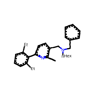 CCCCCCN(Cc1ccccc1)Cc1ccc(-c2c(CC)cccc2CC)nc1C